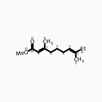 CC/C(C)=C/CCC/C(C)=C/C(=O)OC